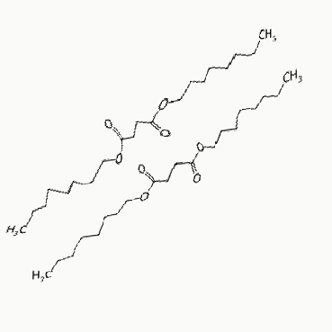 CCCCCCCCOC(=O)CCC(=O)OCCCCCCCC.CCCCCCCCOC(=O)CCC(=O)OCCCCCCCC